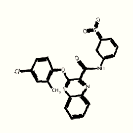 Cc1cc(Cl)ccc1Oc1nc2ccccc2nc1C(=O)NC1=CC=CC(=S(=O)=O)C1